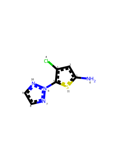 Nc1cc(Cl)c(-n2nccn2)s1